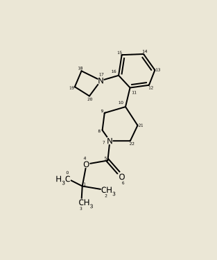 CC(C)(C)OC(=O)N1CCC(c2ccccc2N2CCC2)CC1